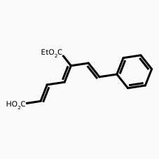 CCOC(=O)C(C=Cc1ccccc1)=CC=CC(=O)O